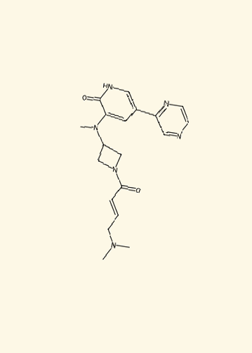 CN(C)CC=CC(=O)N1CC(N(C)c2cc(-c3cnccn3)c[nH]c2=O)C1